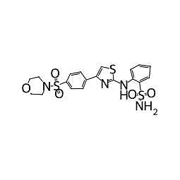 NS(=O)(=O)c1ccccc1Nc1nc(-c2ccc(S(=O)(=O)N3CCOCC3)cc2)cs1